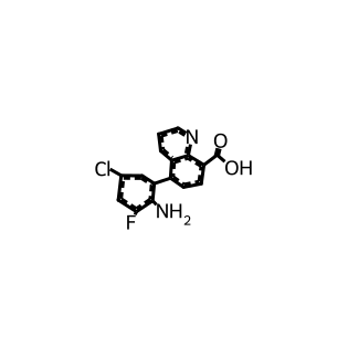 Nc1c(F)cc(Cl)cc1-c1ccc(C(=O)O)c2ncccc12